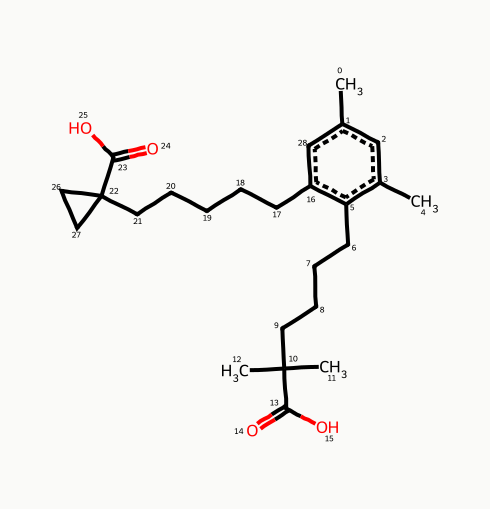 Cc1cc(C)c(CCCCC(C)(C)C(=O)O)c(CCCCCC2(C(=O)O)CC2)c1